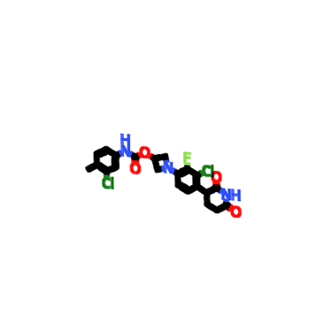 Cc1ccc(NC(=O)OC2CN(c3ccc(C4CCC(=O)NC4=O)c(Cl)c3F)C2)cc1Cl